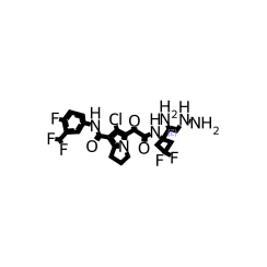 NN/C=C(\N)C1(NC(=O)C(=O)c2c(Cl)c(C(=O)Nc3ccc(F)c(C(F)F)c3)c3n2CCC3)CC(F)(F)C1